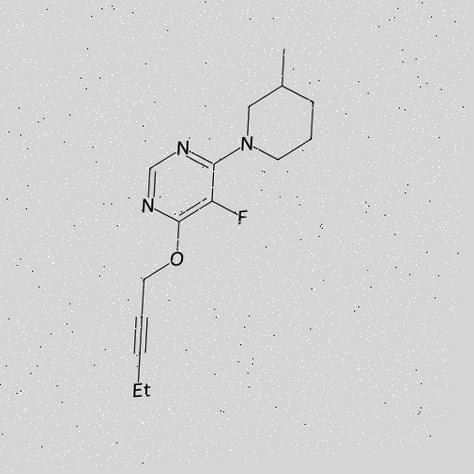 CCC#CCOc1ncnc(N2CCCC(C)C2)c1F